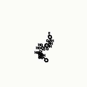 O=C(Nc1ccc(F)cc1)NC1C=CN([C@@H]2O[C@H](COP(=O)(O)OP(=O)(O)OCc3ccccc3)[C@H](O)C2O)C(=O)N1